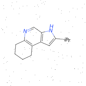 CC(C)c1cc2c3c(ncc2[nH]1)CCCC3